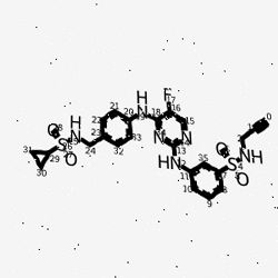 C#CCNS(=O)(=O)c1cccc(Nc2ncc(F)c(Nc3ccc(CNS(=O)(=O)C4CC4)cc3)n2)c1